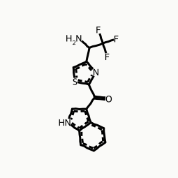 NC(c1csc(C(=O)c2c[nH]c3ccccc23)n1)C(F)(F)F